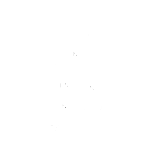 N#Cc1c(C(F)(F)F)cc(C(F)(F)F)nc1NCC(=O)N1CCOc2ccccc21